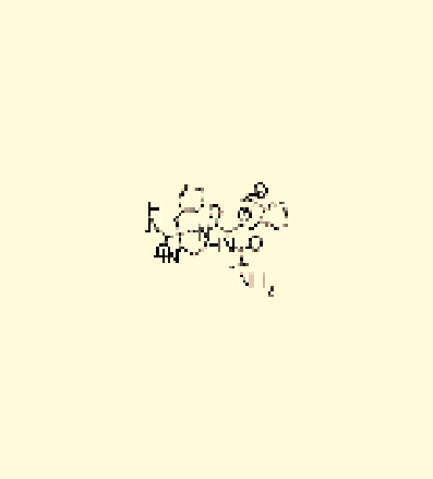 CNC(=O)[C@]1(Cc2ccccc2)CN(C(=O)[C@@H](CCc2ccccc2S(C)(=O)=O)NC(=O)C(C)(C)N)CCC1=N